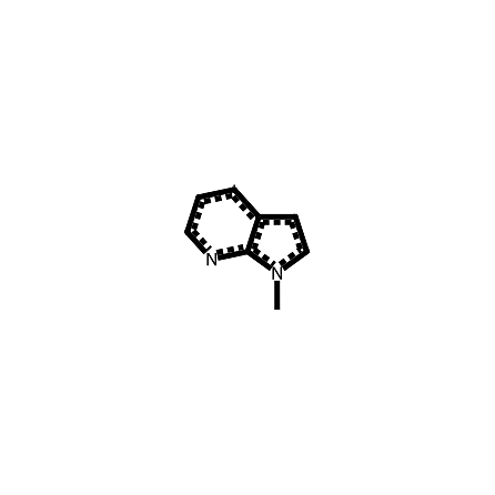 Cn1ccc2[c]ccnc21